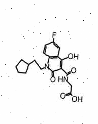 O=C(O)CNC(=O)c1c(O)c2cc(F)ccc2n(CCC2CCCC2)c1=O